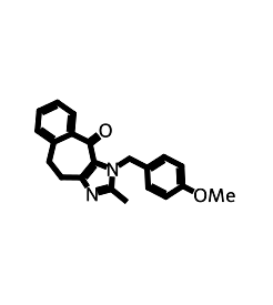 COc1ccc(Cn2c(C)nc3c2C(=O)c2ccccc2CC3)cc1